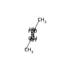 CCCCCCCCCCCCNC(=O)NCCN1CCN(CCNC(=O)NCCCCCCCCCCCC)CC1